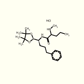 CCCC(NC)C(=O)N[C@@H](CCCc1ccccc1)B1OC(C)(C)C(C)(C)O1.Cl